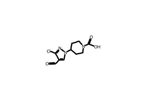 O=Cc1cn(C2CCN(C(=O)O)CC2)nc1Cl